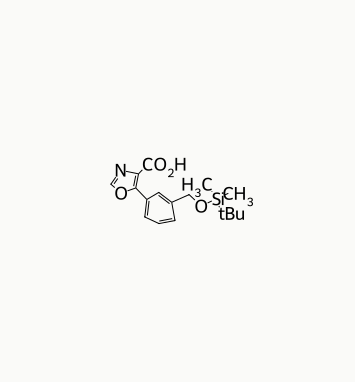 CC(C)(C)[Si](C)(C)OCc1cccc(-c2ocnc2C(=O)O)c1